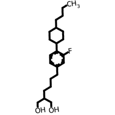 CCCCC1CCC(c2ccc(CCCCC(CO)CO)cc2F)CC1